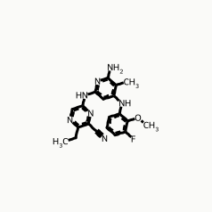 CCc1ncc(Nc2cc(Nc3cccc(F)c3OC)c(C)c(N)n2)nc1C#N